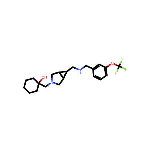 OC1(CN2CC3C(CNCc4cccc(OC(F)(F)F)c4)C3C2)CCCCC1